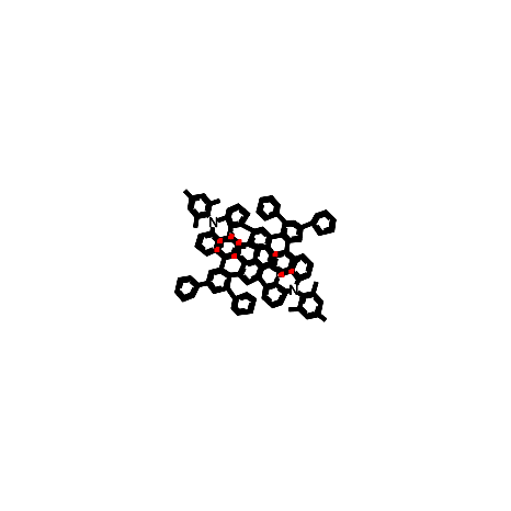 Cc1cc(C)c(N2c3ccccc3B3c4c(cccc42)-c2cc(-c4c(-c5ccccc5)cc(-c5ccccc5)cc4-c4ccccc4)c4cc5c6c(cc(-c7c(-c8ccccc8)cc(-c8ccccc8)cc7-c7ccccc7)c7cc3c2c4c76)-c2cccc3c2B5c2ccccc2N3c2c(C)cc(C)cc2C)c(C)c1